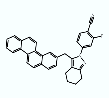 N#Cc1ccc(-n2nc3c(c2Cc2ccc4ccc5c6ccccc6ccc5c4c2)CCCC3)cc1F